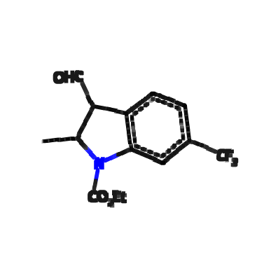 CCOC(=O)N1c2cc(C(F)(F)F)ccc2C(C=O)C1C